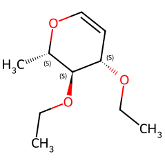 CCO[C@H]1[C@H](C)OC=C[C@@H]1OCC